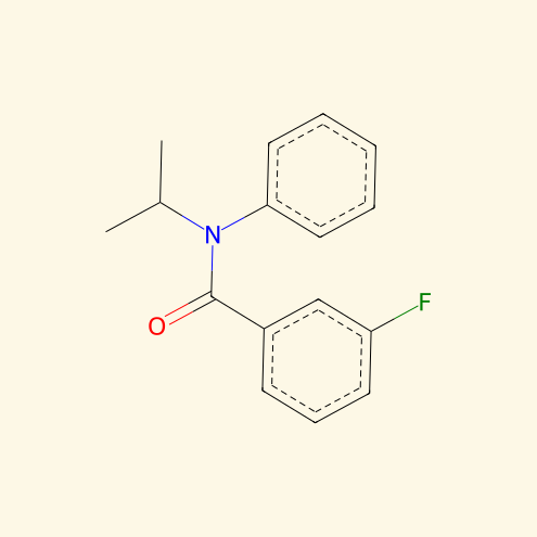 CC(C)N(C(=O)c1cccc(F)c1)c1ccccc1